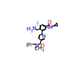 CC(C)CN(C)C(=O)c1ccc(-c2cc(C(=O)NC3CC3)cc(F)c2CN)nc1